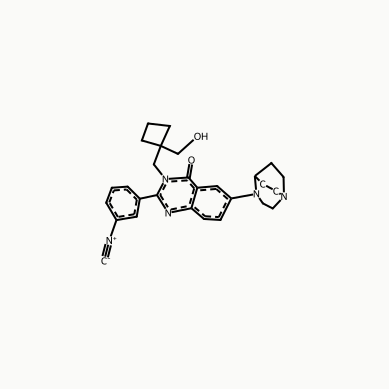 [C-]#[N+]c1cccc(-c2nc3ccc(N4CCN5CCC4CC5)cc3c(=O)n2CC2(CO)CCC2)c1